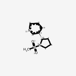 CS(=O)(=O)N1CCC[C@H]1c1cccnc1